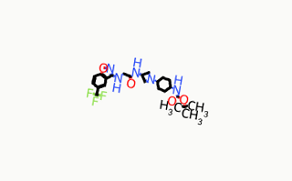 CC(C)(C)OC(=O)N[C@H]1CC[C@@H](N2CC(NC(=O)CNc3noc4ccc(C(F)(F)F)cc34)C2)CC1